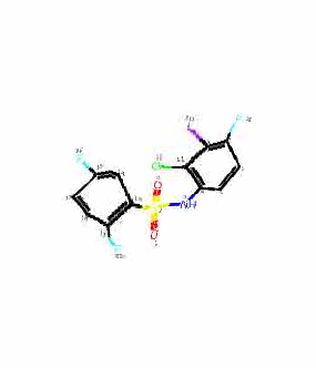 O=S(=O)(Nc1ccc(F)c(I)c1Cl)c1cc(F)ccc1F